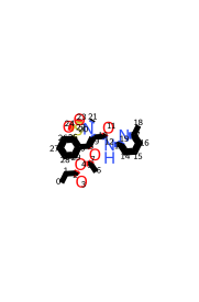 CCC(=O)OC(C)OC1=C(C(=O)Nc2cccc(C)n2)N(C)S(=O)(=O)c2ccccc21